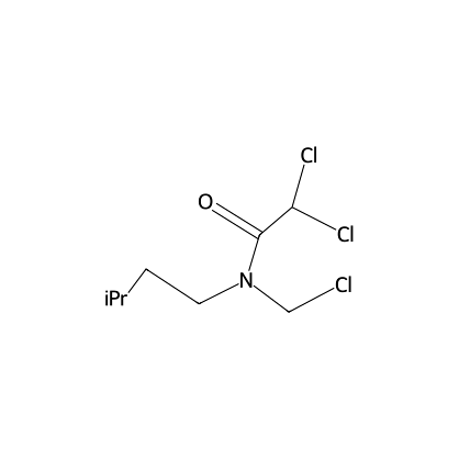 CC(C)CCN(CCl)C(=O)C(Cl)Cl